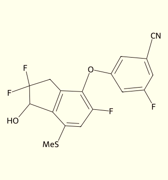 CSc1cc(F)c(Oc2cc(F)cc(C#N)c2)c2c1C(O)C(F)(F)C2